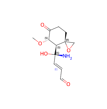 CO[C@@H]1C(=O)CC[C@]2(CO2)[C@H]1[C@@](N)(O)/C=C/C=O